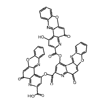 O=C(O)c1cc(OC(=O)c2cc(OC(=O)c3cc(O)c4c5nc6ccccc6oc-5cc(=O)c4n3)c3c4nc5ccccc5oc-4cc(=O)c3n2)c2c3nc4ccccc4oc-3cc(=O)c2n1